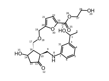 CC(O)c1cccc(NC[C@H]2C(=O)CC(O)[C@@H]2COCc2ccc(C(=O)OCCO)o2)c1